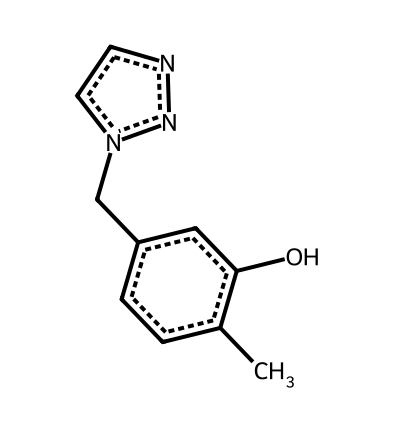 Cc1ccc(Cn2ccnn2)cc1O